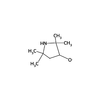 CC1(C)CC([O])C(C)(C)N1